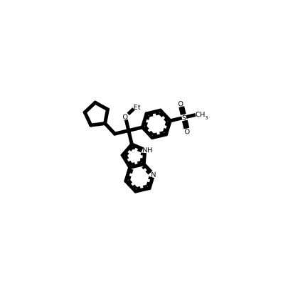 CCOC(CC1CCCC1)(c1ccc(S(C)(=O)=O)cc1)c1cc2cccnc2[nH]1